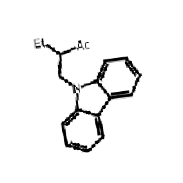 CCC(Cn1c2ccccc2c2ccccc21)C(C)=O